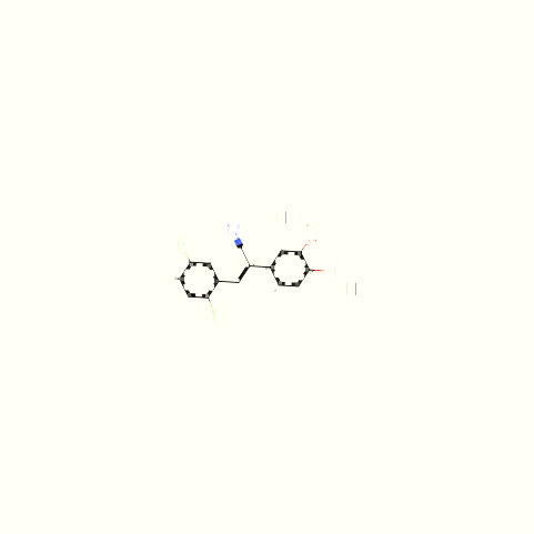 COc1ccc(/C(C#N)=C/c2cc(F)ccc2F)cc1OC